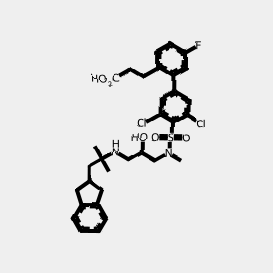 CN(CC(O)CNC(C)(C)CC1Cc2ccccc2C1)S(=O)(=O)c1c(Cl)cc(-c2cc(F)ccc2CCC(=O)O)cc1Cl